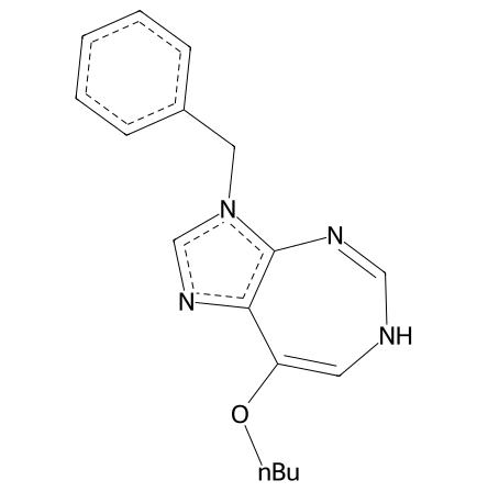 CCCCOC1=CNC=Nc2c1ncn2Cc1ccccc1